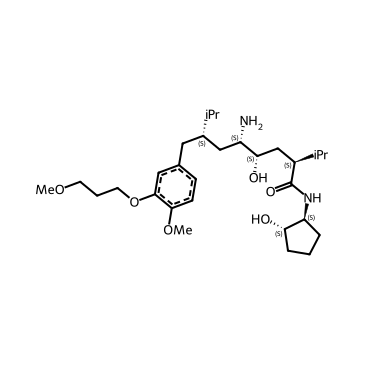 COCCCOc1cc(C[C@@H](C[C@H](N)[C@@H](O)C[C@H](C(=O)N[C@H]2CCC[C@@H]2O)C(C)C)C(C)C)ccc1OC